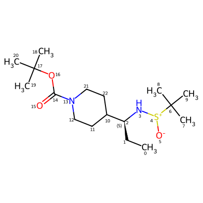 CC[C@H](N[S+]([O-])C(C)(C)C)C1CCN(C(=O)OC(C)(C)C)CC1